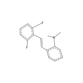 CN(C)c1ccccc1C=Cc1c(F)cccc1F